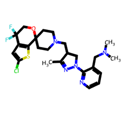 CC1=NN(c2ncccc2CN(C)C)CC1CN1CCC2(CC1)OCC(F)(F)c1cc(Cl)sc12